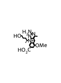 COc1cc(C(=O)O)ccc1Cc1c(C)nc(N)nc1N[C@@H](C)CCCO